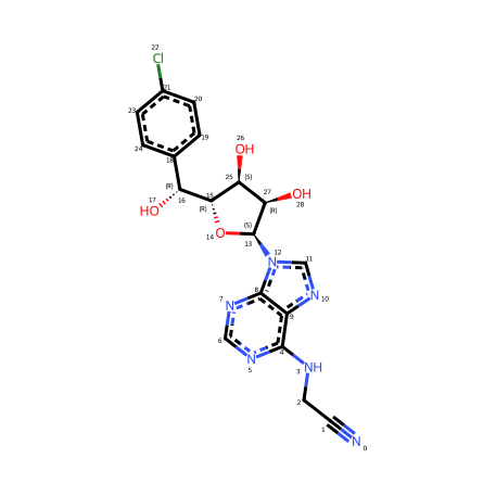 N#CCNc1ncnc2c1ncn2[C@H]1O[C@H]([C@H](O)c2ccc(Cl)cc2)[C@@H](O)[C@H]1O